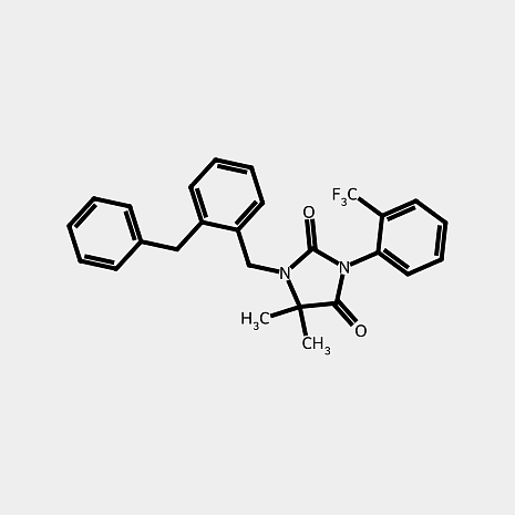 CC1(C)C(=O)N(c2ccccc2C(F)(F)F)C(=O)N1Cc1ccccc1Cc1ccccc1